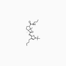 CCCCc1cn(C(C)(C)C)s/c1=N\C(=O)[C@@]1(C)CC[C@@H](C(=O)NCCC)C1(C)C